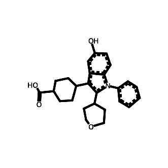 O=C(O)C1CCC(c2c(C3CCOCC3)n(-c3ccccc3)c3ccc(O)cc23)CC1